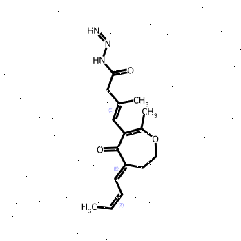 C/C=C\C=C1/CCOC(C)=C(/C=C(\C)CC(=O)NN=N)C1=O